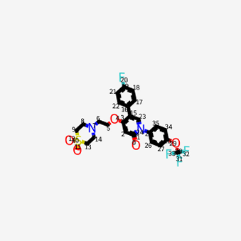 O=c1cc(OCCN2CCS(=O)(=O)CC2)c(-c2ccc(F)cc2)cn1-c1ccc(OC(F)(F)F)cc1